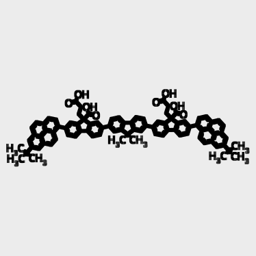 CC(C)(C)c1cc2ccc3ccc(-c4ccc5c(c4)C(CCC(=O)O)(C(=O)O)c4cc(-c6ccc7c(c6)C(C)(C)c6cc(-c8ccc9c(c8)C(CCC(=O)O)(C(=O)O)c8cc(-c%10ccc%11ccc%12cc(C(C)(C)C)cc%13ccc%10c%11c%12%13)ccc8-9)ccc6-7)ccc4-5)c4ccc(c1)c2c34